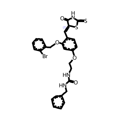 O=C(NCCOc1ccc(/C=C2\SC(=S)NC2=O)c(OCc2ccccc2Br)c1)NCc1ccccc1